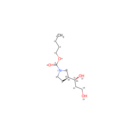 CCCCOC(=O)N1CC[C@H]([C@@H](O)CCO)C1